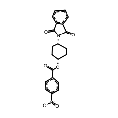 O=C(O[C@H]1CC[C@@H](N2C(=O)c3ccccc3C2=O)CC1)c1ccc([N+](=O)[O-])cc1